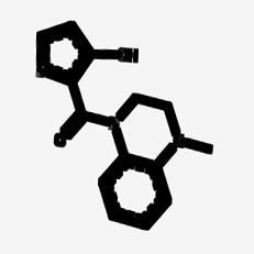 CN1CCN(C(=O)c2sccc2O)c2ccccc21